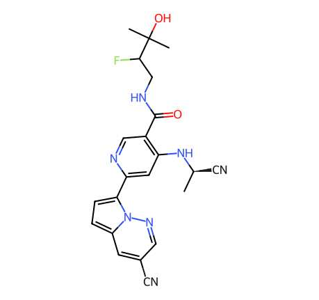 C[C@H](C#N)Nc1cc(-c2ccc3cc(C#N)cnn23)ncc1C(=O)NCC(F)C(C)(C)O